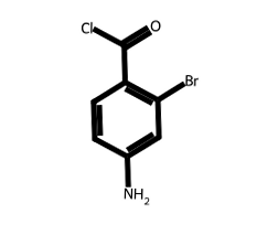 Nc1ccc(C(=O)Cl)c(Br)c1